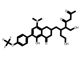 CC(=O)CC(=O)C(CO)C(CCO)CC1CC(=O)c2c(O)c(-c3ccc(OC(F)(F)F)cc3)cc(N(C)C)c2C1